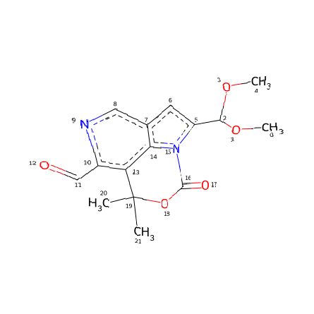 COC(OC)c1cc2cnc(C=O)c3c2n1C(=O)OC3(C)C